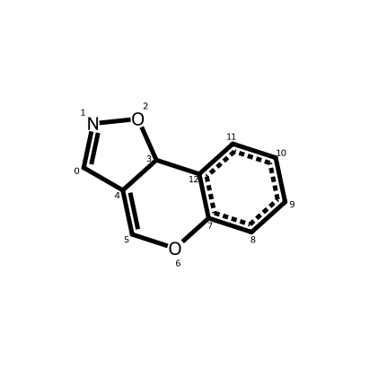 C1=NOC2C1=COc1ccccc12